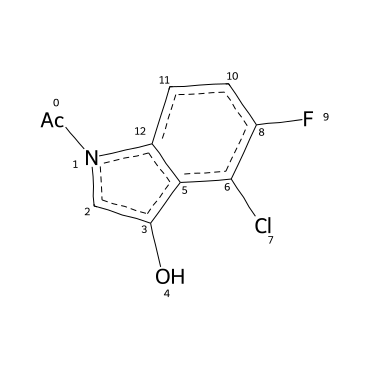 CC(=O)n1cc(O)c2c(Cl)c(F)ccc21